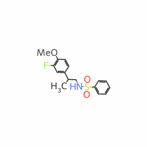 COc1ccc(C(C)CNS(=O)(=O)c2ccccc2)cc1F